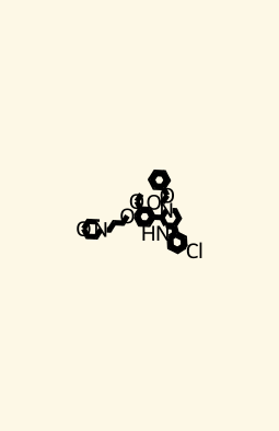 COc1cc(C2c3[nH]c4ccc(Cl)cc4c3CCN2C(=O)Oc2ccccc2)ccc1OCCCN1CCOCC1